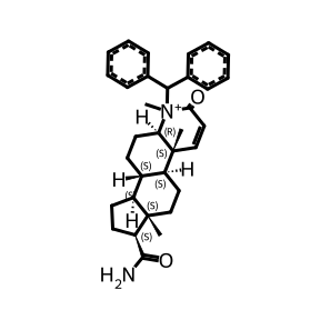 C[C@]12C=CC(=O)[N+](C)(C(c3ccccc3)c3ccccc3)[C@@H]1CC[C@@H]1[C@@H]2CC[C@]2(C)[C@@H](C(N)=O)CC[C@@H]12